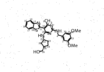 COc1cc(CNc2nc(C)c(-c3nc4ccccc4s3)c(N[C@H]3CC[C@@H](CO)C3)n2)cc(OC)c1